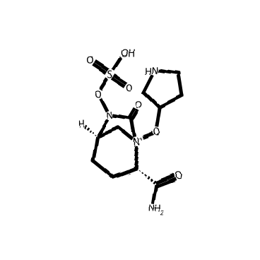 NC(=O)[C@@H]1CC[C@@H]2C[N+]1(OC1CCNC1)C(=O)N2OS(=O)(=O)O